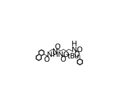 CC(C)(C)OC(=O)NC(CCCCNC(=O)OCc1ccccc1)C(=O)N1CCN(C(=O)c2cccc3ccccc23)CC1